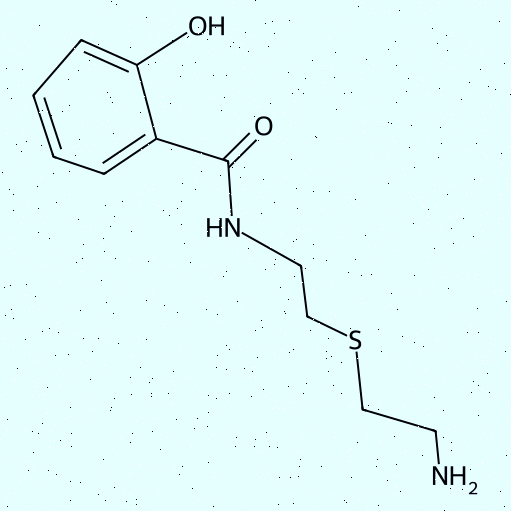 NCCSCCNC(=O)c1ccccc1O